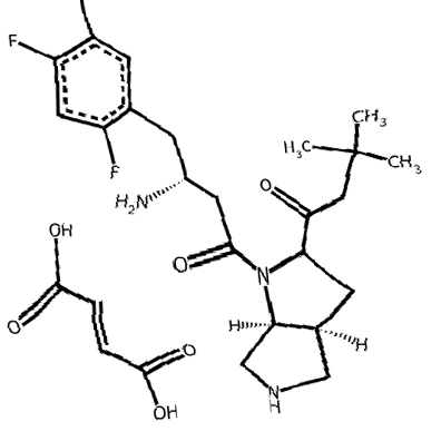 CC(C)(C)CC(=O)C1C[C@H]2CNC[C@H]2N1C(=O)C[C@H](N)Cc1cc(F)c(F)cc1F.O=C(O)/C=C/C(=O)O